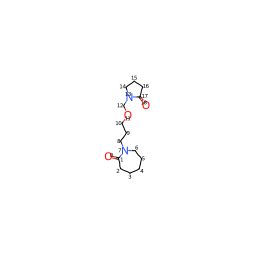 O=C1CCCCCN1CCCOCN1CCCC1=O